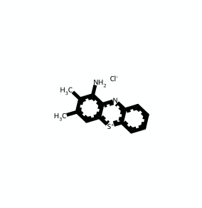 Cc1cc2[s+]c3ccccc3nc2c(N)c1C.[Cl-]